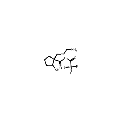 NCCCC1(C(=O)OC(=O)C(F)(F)F)CCCC1S